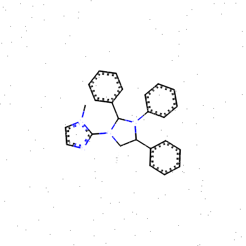 C[C@H]1C(c2ccccc2)N(c2ccccc2)C(c2ccccc2)N1c1nccn1C